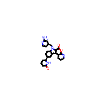 Nc1cc(Cn2c3ccc(-c4cccc(=O)[nH]4)cc3c3c4cccnc4oc(=O)c32)ccn1